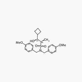 COc1ccc(CN(Cc2ccc(OC)cc2)S(=O)(=O)[C@H](C)[C@@H](O)C2CCC2)cc1